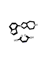 O=C(O)/C=C\C(=O)O.c1cc(N2CC3CCNCCC3C2)c2ccsc2c1